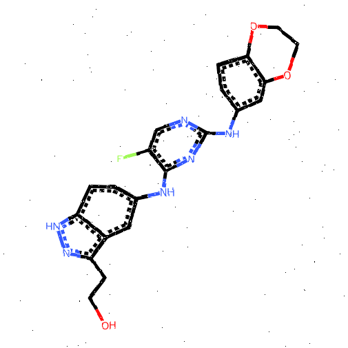 OCCc1n[nH]c2ccc(Nc3nc(Nc4ccc5c(c4)OCCO5)ncc3F)cc12